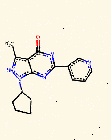 Cc1[nH]n(C2CCCC2)c2nc(-c3cccnc3)nc(=O)c1-2